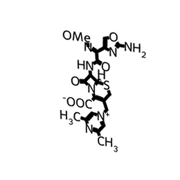 CON=C(C(=O)NC1C(=O)N2C(C(=O)[O-])=C(C[n+]3cc(C)nc(C)c3)CS[C@@H]12)c1coc(N)n1